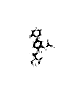 CN(C)[C@@H](CN)C(=O)Nc1ccc(N2CCOCC2=O)cc1OC(F)F